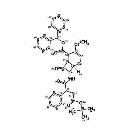 COC1=CS[C@H]2[C@H](NC(=O)C(NC(=O)OC(C)(C)C)c3ccccc3)C(=O)N2[C@H]1C(=O)OC(c1ccccc1)c1ccccc1